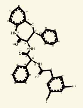 O=C(Cc1cc(F)cc(F)c1)N[C@H](C(=O)N[C@H]1C(=O)Nc2ccccc2O[C@H]1c1ccccc1)c1ccccc1